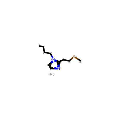 CCCCn1ccnc1CCSC.[Pt]